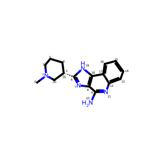 CN1CCC[C@H](c2nc3c(N)nc4ccccc4c3[nH]2)C1